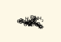 Cc1oc(=O)oc1COC(=O)Nc1ncnn2c([C@]3(C#N)C[C@H](COC(=O)CC4CCCCC4)[C@@H](OC(=O)[C@@H](N)C(C)C)[C@H]3O)ccc12